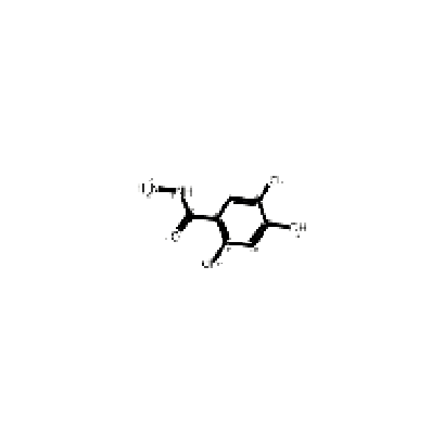 NNC(=O)c1cc(Cl)c(O)cc1Cl